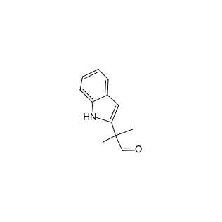 CC(C)(C=O)c1cc2ccccc2[nH]1